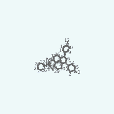 Cc1ccc(-c2cc(-c3ccc(C)cc3)c3ccc4nc(C5=CC=CCC5)nc5ccc2c3c54)cc1